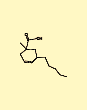 CCCCCC1C=CCC(C)(C(=O)O)C1